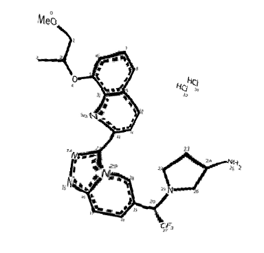 COCC(C)Oc1cccc2ccc(-c3nnc4ccc([C@@H](N5CCC(N)C5)C(F)(F)F)cn34)nc12.Cl.Cl